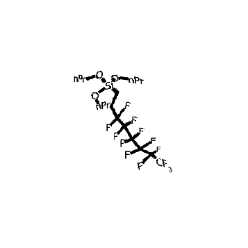 CCCO[Si](CCC(F)(F)C(F)(F)C(F)(F)C(F)(F)C(F)(F)C(F)(F)F)(OCCC)OCCC